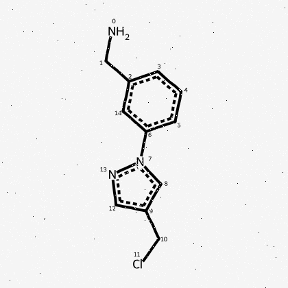 NCc1cccc(-n2cc(CCl)cn2)c1